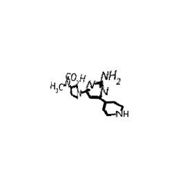 CN(C(=O)O)C1CCN(c2cc(C3CCNCC3)nc(N)n2)C1